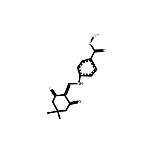 CCCOC(=O)c1ccc(NC=C2C(=O)CC(C)(C)CC2=O)cc1